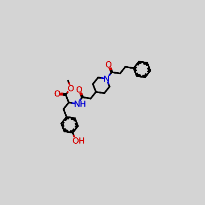 COC(=O)C(Cc1ccc(O)cc1)NC(=O)CC1CCN(C(=O)CCc2ccccc2)CC1